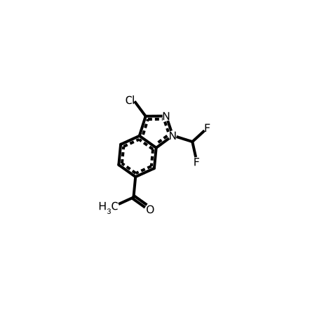 CC(=O)c1ccc2c(Cl)nn(C(F)F)c2c1